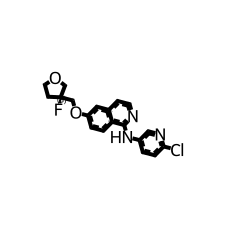 F[C@@]1(COc2ccc3c(Nc4ccc(Cl)nc4)nccc3c2)CCOC1